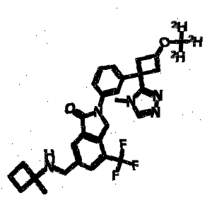 [2H]C([2H])([2H])OC1CC(c2cccc(N3Cc4c(cc(CNC5(C)CCC5)cc4C(F)(F)F)C3=O)c2)(c2nncn2C)C1